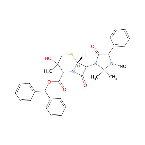 CC1(O)CS[C@@H]2C(N3C(=O)C(c4ccccc4)N(N=O)C3(C)C)C(=O)N2C1C(=O)OC(c1ccccc1)c1ccccc1